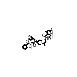 Cc1cc(Cl)nc(Cl)c1C(=O)NCCC(C)N1CCC(N(Cc2ccsc2)C(=O)CNC(=O)c2ccccc2)CC1